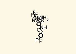 NS(=O)(=O)c1cc(NC(=O)Cc2ccc(C(F)F)cc2)ccc1N1N=CC(C(F)(F)F)N1